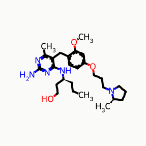 CCC[C@@H](CCO)Nc1nc(N)nc(C)c1Cc1ccc(OCCCN2CCC[C@H]2C)cc1OC